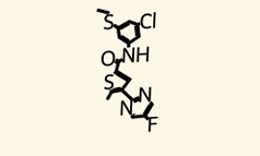 CCSc1cc(Cl)cc(NC(=O)c2cc(-c3ncc(F)cn3)c(C)s2)c1